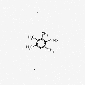 [CH2]CCCCCc1c(C)cc(C)c(C)c1C